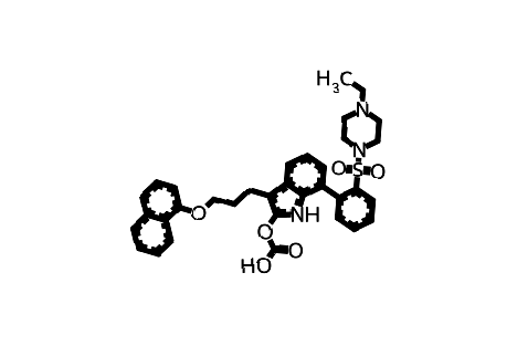 CCN1CCN(S(=O)(=O)c2ccccc2-c2cccc3c(CCCOc4cccc5ccccc45)c(OC(=O)O)[nH]c23)CC1